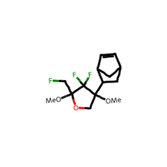 COC1(CF)OCC(OC)(C2CC3C=CC2C3)C1(F)F